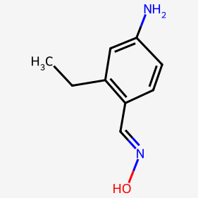 CCc1cc(N)ccc1C=NO